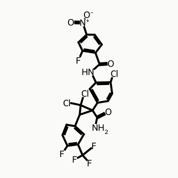 NC(=O)C1(c2ccc(Cl)c(NC(=O)c3ccc([N+](=O)[O-])cc3F)c2)C(c2ccc(F)c(C(F)(F)F)c2)C1(Cl)Cl